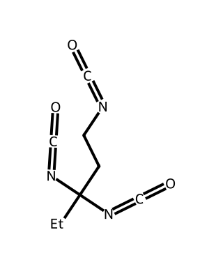 CCC(CCN=C=O)(N=C=O)N=C=O